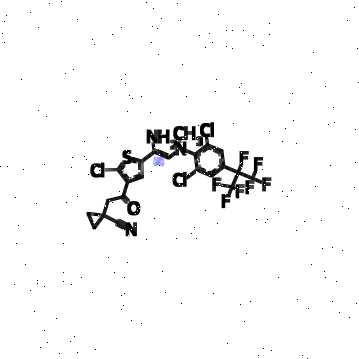 CN(/C=C(\N)c1cc(C(=O)CC2(C#N)CC2)c(Cl)s1)c1c(Cl)cc(C(F)(C(F)(F)F)C(F)(F)F)cc1Cl